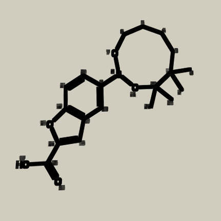 CC1(C)CCCCOB(c2ccc3oc(C(=O)O)cc3c2)OC1(C)C